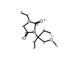 CCN1CC(=O)N(C(CC)(CC)COC)C1=O